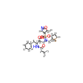 CC(C)=CC(=O)N[C@@H](Cc1ccccc1)[C@H](O)CN(Cc1cccs1)S(=O)(=O)c1cnoc1C